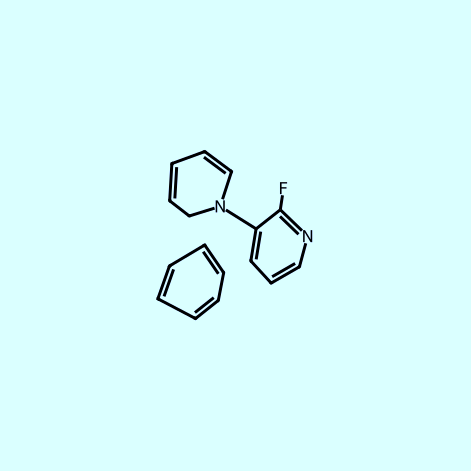 Fc1ncccc1N1C=CC=CC1.c1ccccc1